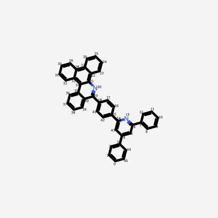 c1ccc(-c2cc(-c3ccccc3)nc(-c3ccc(-c4nc5c6ccccc6c6ccccc6c5c5ccccc45)cc3)c2)cc1